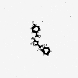 O=C(Nc1cc(-c2nc3ccccc3[nH]2)n[nH]1)c1ccc(F)cc1